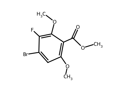 COC(=O)c1c(OC)cc(Br)c(F)c1OC